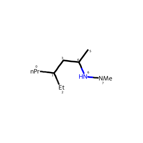 CCCC(CC)CC(C)NNC